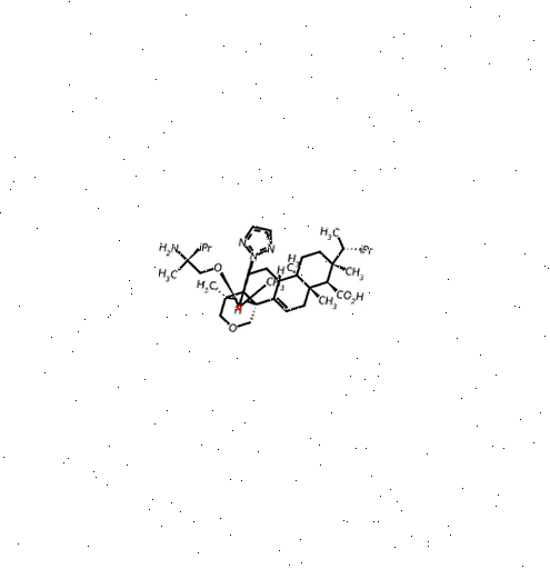 CC(C)[C@@H](C)[C@@]1(C)CC[C@]2(C)[C@H]3CC[C@H]4[C@]5(C)COC[C@]4(C3=CC[C@@]2(C)[C@@H]1C(=O)O)C(C)[C@@H](n1nccn1)[C@@H]5OC[C@](C)(N)C(C)C